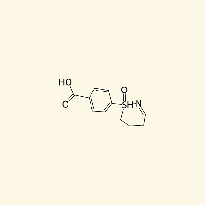 O=C(O)c1ccc([SH]2(=O)CCCC=N2)cc1